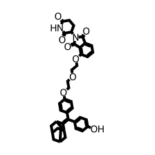 O=C1CCC(N2C(=O)c3cccc(OCCOCCOc4ccc(C(=C5C6CC7CC(C6)CC5C7)c5ccc(O)cc5)cc4)c3C2=O)C(=O)N1